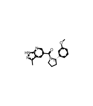 COc1cccc([C@@H]2CCCN2C(=O)c2cnc3[nH]nc(C)c3c2)c1